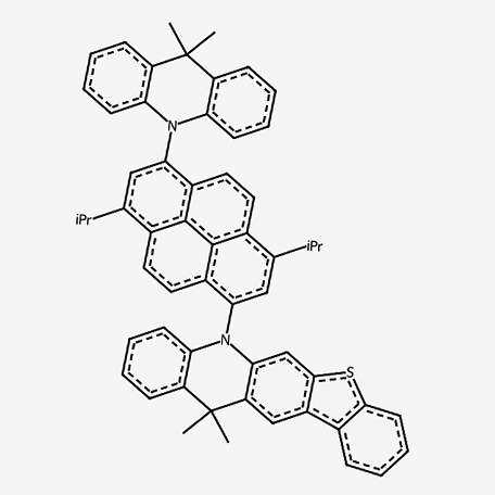 CC(C)c1cc(N2c3ccccc3C(C)(C)c3ccccc32)c2ccc3c(C(C)C)cc(N4c5ccccc5C(C)(C)c5cc6c(cc54)sc4ccccc46)c4ccc1c2c34